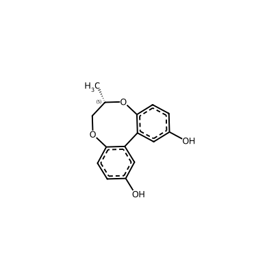 C[C@H]1COc2ccc(O)cc2-c2cc(O)ccc2O1